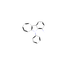 Nc1cccc2c3c(n(-c4ccccc4)c12)C=C=CC=C3